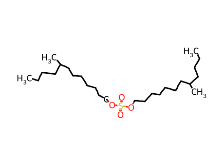 CCCCC(C)CCCCCCCOS(=O)(=O)OCCCCCCCC(C)CCCC